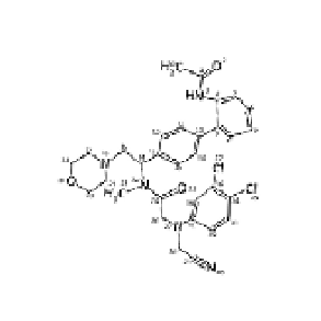 CC(=O)Nc1ccccc1-c1ccc(C(CN2CCOCC2)N(C)C(=O)CN(CC#N)c2ccc(Cl)c(Cl)c2)cc1